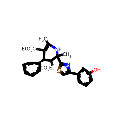 CCOC(=O)C1=C(C)NC(C)(c2nc(-c3cccc(O)c3)cs2)C(C(=O)OCC)C1c1ccccc1